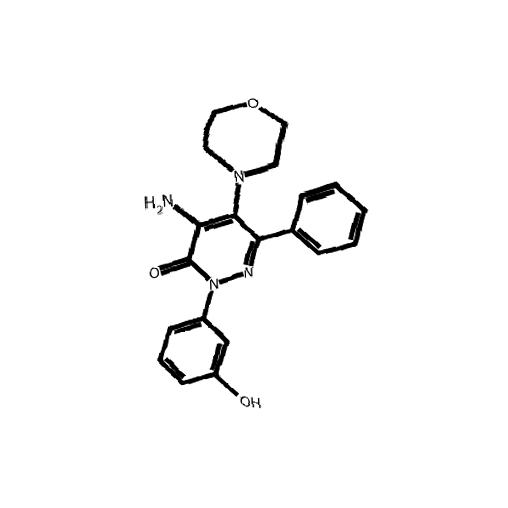 Nc1c(N2CCOCC2)c(-c2ccccc2)nn(-c2cccc(O)c2)c1=O